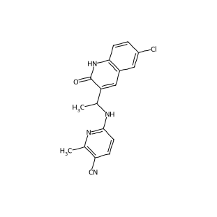 Cc1nc(NC(C)c2cc3cc(Cl)ccc3[nH]c2=O)ccc1C#N